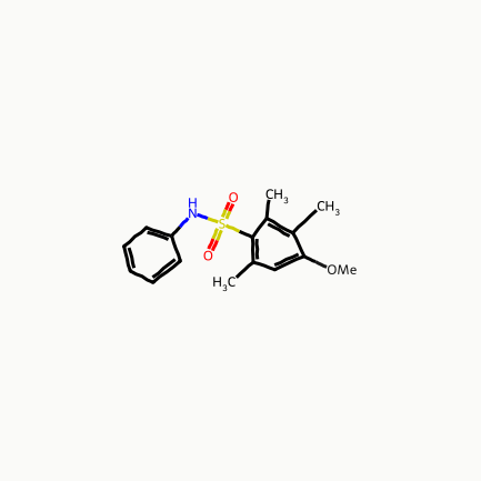 COc1cc(C)c(S(=O)(=O)Nc2ccccc2)c(C)c1C